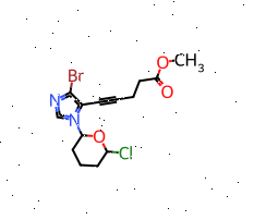 COC(=O)CCC#Cc1c(Br)ncn1C1CCCC(Cl)O1